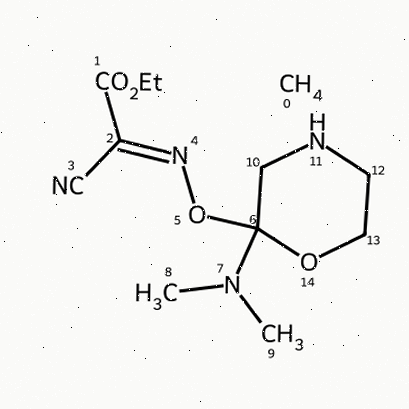 C.CCOC(=O)C(C#N)=NOC1(N(C)C)CNCCO1